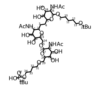 CC(=O)NC1C(CCC2OC(OCCCCCOC(C)(C)C)C(NC(C)=O)C(O)C2O)OC(COC2OC(COCCCCOP(=O)(O)C(C)(C)C)C(O)C(O)C2NC(C)=O)C(O)C1O